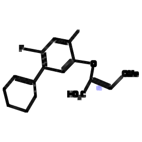 CO/C=C(\Oc1cc(C2=CCCCC2)c(F)cc1C)C(=O)O